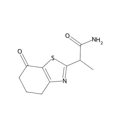 CC(C(N)=O)c1nc2c(s1)C(=O)CCC2